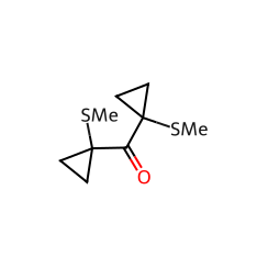 CSC1(C(=O)C2(SC)CC2)CC1